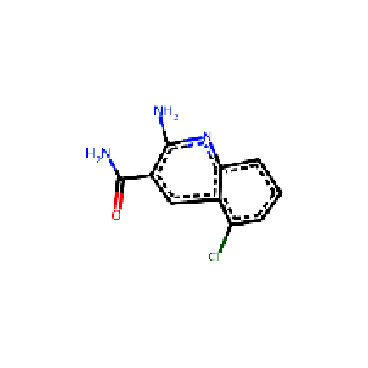 NC(=O)c1cc2c(Cl)cccc2nc1N